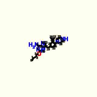 CCCCOc1nc(N)c2ncc(Cc3ccc(N4CCNCC4)c(C(C)C)c3)n2n1